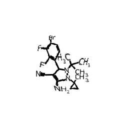 CC(C)(C)N1C(c2ccc(Br)c(F)c2F)C(C#N)=C(N)N1C1(C)CC1